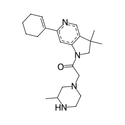 CC1CN(CC(=O)N2CC(C)(C)c3cnc(C4=CCCCC4)cc32)CCN1